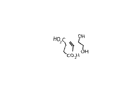 C=CC.O=C(O)CCC(=O)O.OCCO